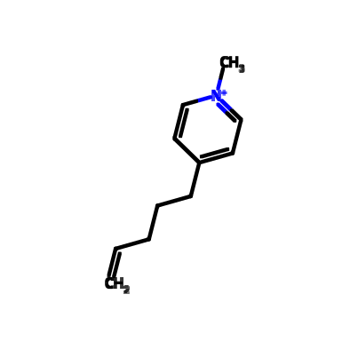 C=CCCCc1cc[n+](C)cc1